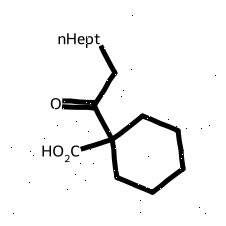 CCCCCCCCC(=O)C1(C(=O)O)CCCCC1